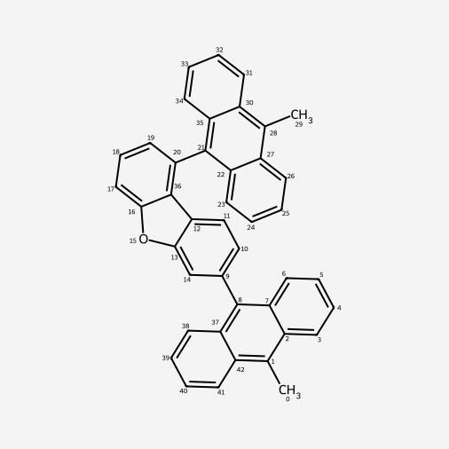 Cc1c2ccccc2c(-c2ccc3c(c2)oc2cccc(-c4c5ccccc5c(C)c5ccccc45)c23)c2ccccc12